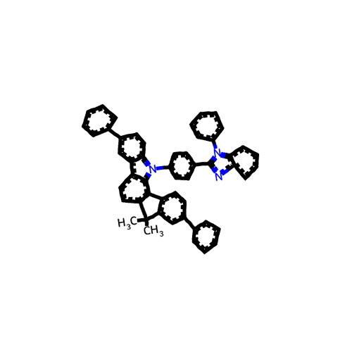 CC1(C)c2cc(-c3ccccc3)ccc2-c2c1ccc1c3cc(-c4ccccc4)ccc3n(-c3ccc(-c4nc5ccccc5n4-c4ccccc4)cc3)c21